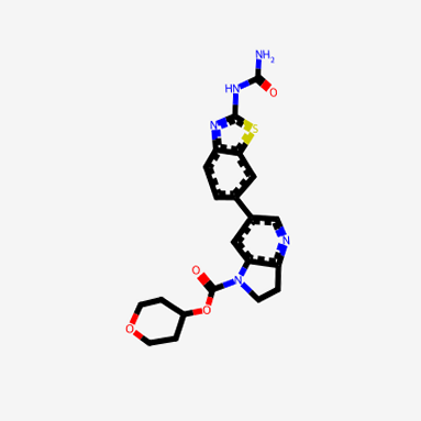 NC(=O)Nc1nc2ccc(-c3cnc4c(c3)N(C(=O)OC3CCOCC3)CC4)cc2s1